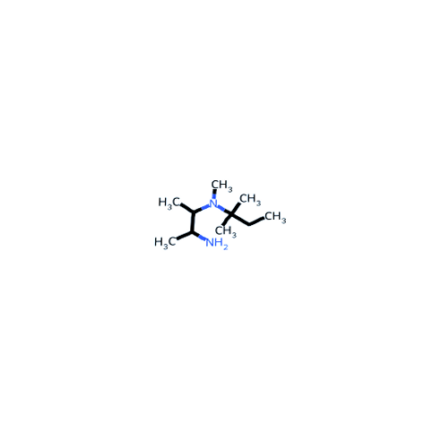 CCC(C)(C)N(C)C(C)C(C)N